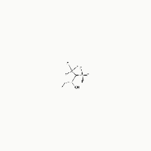 CCC(O)[C](C(F)(F)F)C(F)(F)F